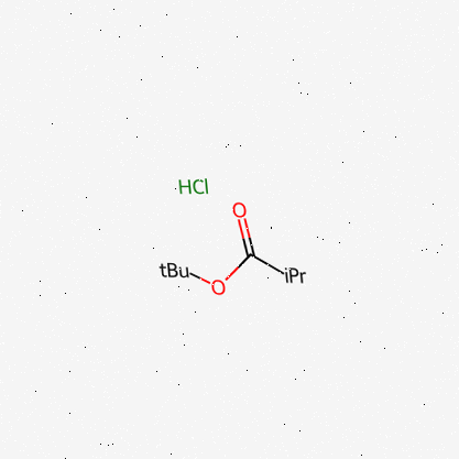 CC(C)C(=O)OC(C)(C)C.Cl